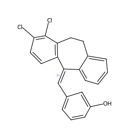 Oc1cccc(/C=C2\c3ccccc3CCc3c2ccc(Cl)c3Cl)c1